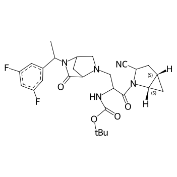 CC(c1cc(F)cc(F)c1)N1C(=O)C2CC1CN2CC(NC(=O)OC(C)(C)C)C(=O)N1C(C#N)C[C@@H]2C[C@@H]21